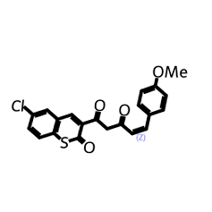 COc1ccc(/C=C\C(=O)CC(=O)c2cc3cc(Cl)ccc3sc2=O)cc1